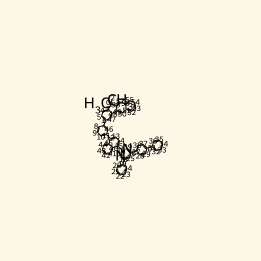 CC1(C)c2ccc(-c3cccc(-c4ccc(-c5nc(-c6ccccc6)cc(-c6ccc(-c7ccccc7)cc6)n5)c5ccccc45)c3)cc2-c2cc3ccccc3cc21